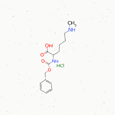 CNCCCCC(NC(=O)OCc1ccccc1)C(=O)O.Cl